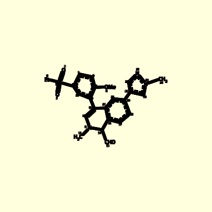 CCS(=O)(=O)c1ccc(OC)c(C2=CN(C)C(C=O)c3ccc(-c4cnn(C)c4)cc32)c1